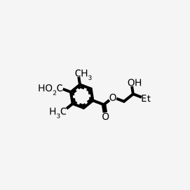 CCC(O)COC(=O)c1cc(C)c(C(=O)O)c(C)c1